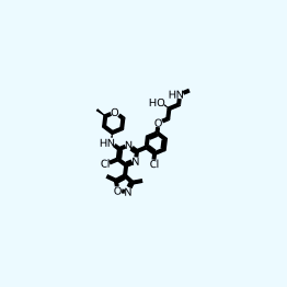 CNC[C@@H](O)COc1ccc(Cl)c(-c2nc(N[C@H]3CCO[C@H](C)C3)c(Cl)c(-c3c(C)noc3C)n2)c1